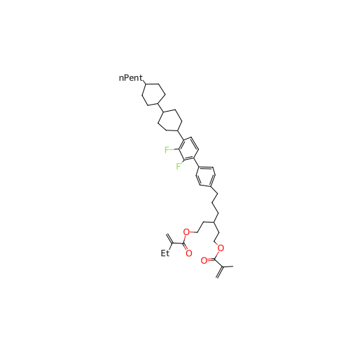 C=C(C)C(=O)OCCC(CCCc1ccc(-c2ccc(C3CCC(C4CCC(CCCCC)CC4)CC3)c(F)c2F)cc1)CCOC(=O)C(=C)CC